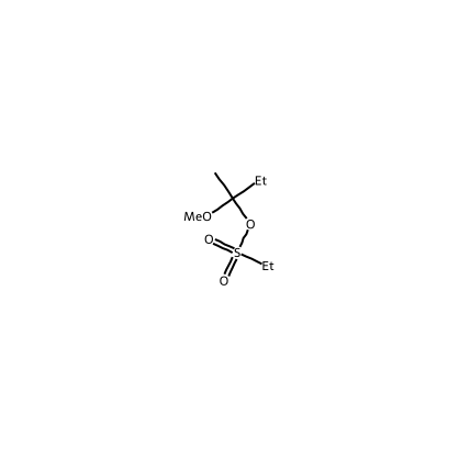 CCC(C)(OC)OS(=O)(=O)CC